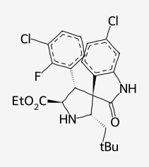 CCOC(=O)[C@@H]1N[C@@H](CC(C)(C)C)[C@@]2(C(=O)Nc3cc(Cl)ccc32)[C@H]1c1cccc(Cl)c1F